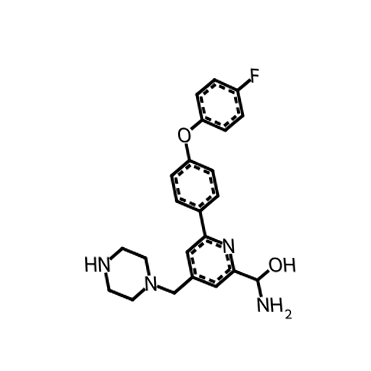 NC(O)c1cc(CN2CCNCC2)cc(-c2ccc(Oc3ccc(F)cc3)cc2)n1